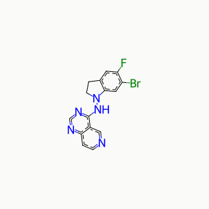 Fc1cc2c(cc1Br)N(Nc1ncnc3ccncc13)CC2